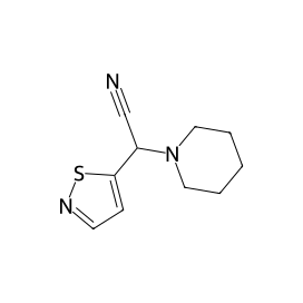 N#CC(c1ccns1)N1CCCCC1